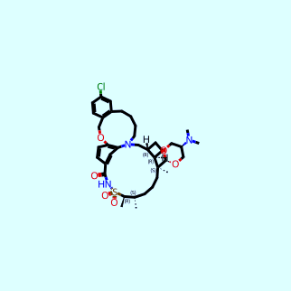 C[C@@H]1[C@@H](C)CCC[C@](C)([C@H]2OC[C@H](N(C)C)CO2)[C@@H]2CC[C@H]2CN2CCCCc3cc(Cl)ccc3COc3ccc(cc32)C(=O)NS1(=O)=O